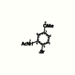 COc1ccc(Br)c(NC(C)=O)c1